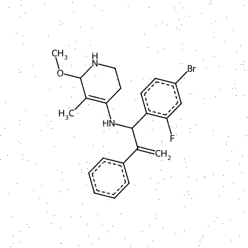 C=C(c1ccccc1)C(NC1=C(C)C(OC)NCC1)c1ccc(Br)cc1F